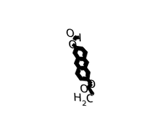 C=CC(=O)Oc1ccc2cc3cc(OC(=O)I)ccc3cc2c1